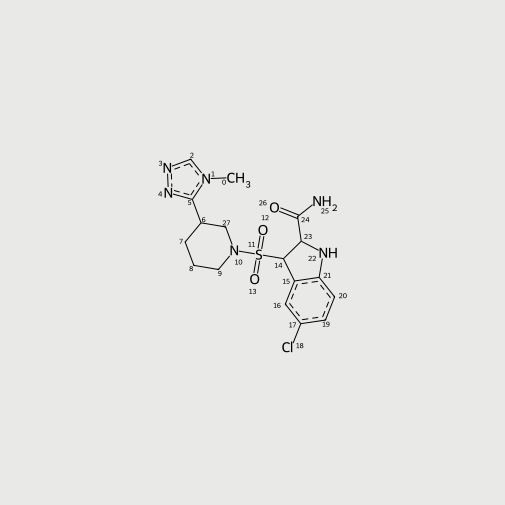 Cn1cnnc1C1CCCN(S(=O)(=O)C2c3cc(Cl)ccc3NC2C(N)=O)C1